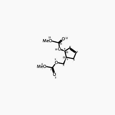 COC(=O)OC[C@@H]1CC=C[C@@H]1OC(=O)OC